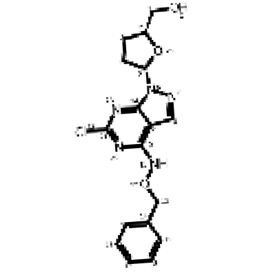 OC[C@@H]1CC[C@H](n2ncc3c(NOCc4ccccc4)nc(Cl)nc32)O1